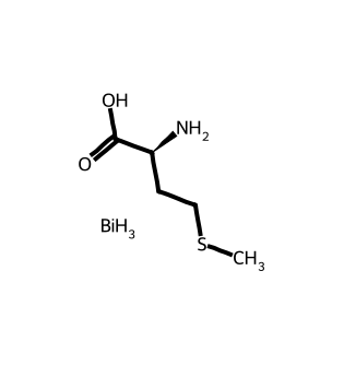 CSCC[C@H](N)C(=O)O.[BiH3]